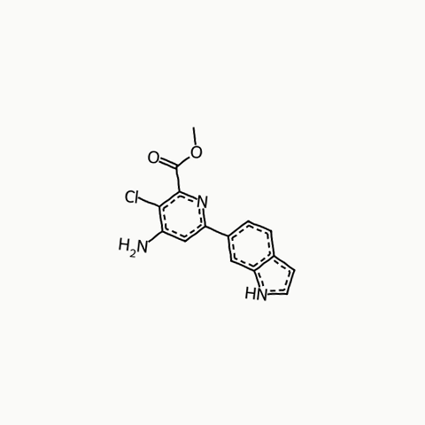 COC(=O)c1nc(-c2ccc3cc[nH]c3c2)cc(N)c1Cl